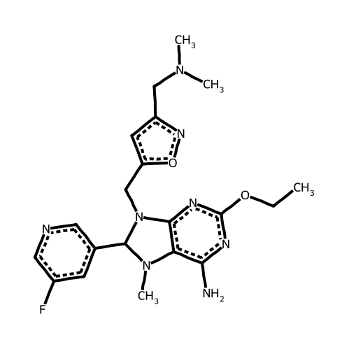 CCOc1nc(N)c2c(n1)N(Cc1cc(CN(C)C)no1)C(c1cncc(F)c1)N2C